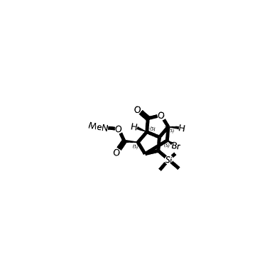 CNOC(=O)[C@@H]1C2C([Si](C)(C)C)C3[C@H]1C(=O)O[C@@H]3[C@H]2Br